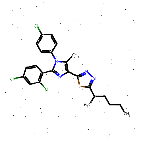 CCCCC(C)c1nnc(-c2nc(-c3ccc(Cl)cc3Cl)n(-c3ccc(Cl)cc3)c2C)s1